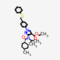 CCOC(=O)c1cn(-c2ccc(CSc3ccccc3)cc2)nc1N(C(=O)[C@H]1CC[C@H](C)CC1)C(C)C